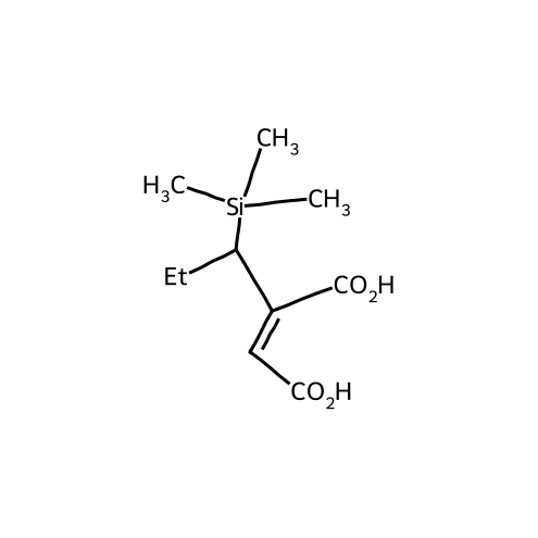 CCC(C(=CC(=O)O)C(=O)O)[Si](C)(C)C